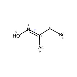 CC(=O)/C(CBr)=N\O